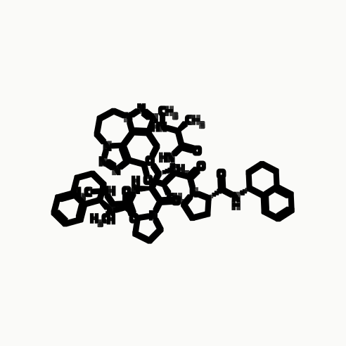 CN[C@@H](C)C(=O)N[C@H](C(=O)N1CCC[C@H]1C(=O)N[C@@H]1CCCc2ccccc21)[C@@H](C)OCc1nnn2c1-c1c(CO[C@H](C)[C@H](NC(=O)[C@H](C)NC)C(=O)N3CCC[C@H]3C(=O)N[C@@H]3CCCc4ccccc43)nnn1CCC2